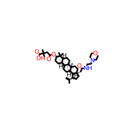 C=C(C)[C@@H]1CC[C@]2(CC(=O)NCCN3CCOCC3)CC[C@]3(C)[C@H](CC[C@@H]4[C@@]5(C)CC[C@H](OC(=O)CC(C)(C)C(=O)O)C(C)(C)[C@@H]5CC[C@]43C)[C@@H]12